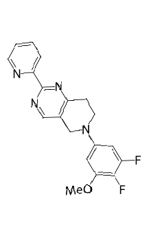 COc1cc(N2CCc3nc(-c4ccccn4)ncc3C2)cc(F)c1F